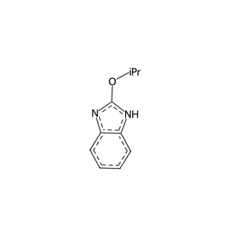 CC(C)Oc1nc2ccccc2[nH]1